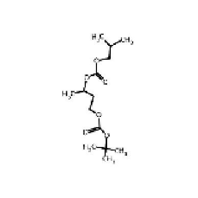 CC(C)COC(=O)OC(C)CCOC(=O)OC(C)(C)C